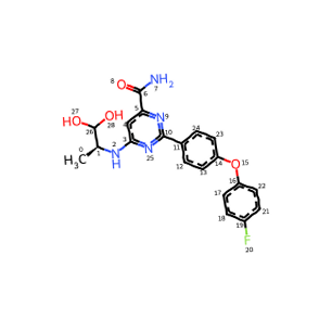 C[C@H](Nc1cc(C(N)=O)nc(-c2ccc(Oc3ccc(F)cc3)cc2)n1)C(O)O